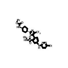 CCc1ccc(Nc2ccc(-c3sc([C@H]4CC[C@H](NC(=O)OC(C)C)CC4)nc3C(F)(F)F)c(S(=O)(=O)NC(C)(C)C)c2)nn1